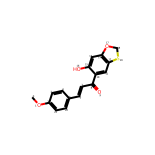 COc1ccc(/C=C/C(=O)c2cc3c(cc2O)OCS3)cc1